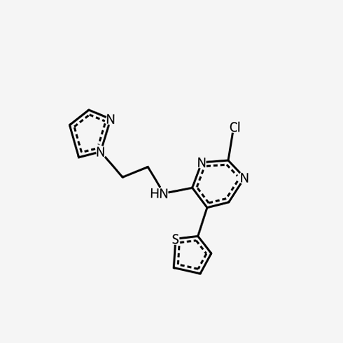 Clc1ncc(-c2cccs2)c(NCCn2cccn2)n1